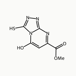 COC(=O)c1cc(O)n2c(S)nnc2n1